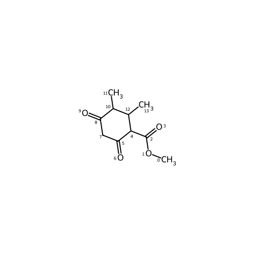 COC(=O)C1C(=O)CC(=O)C(C)C1C